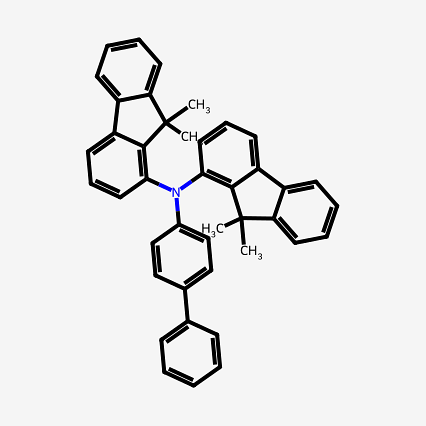 CC1(C)c2ccccc2-c2cccc(N(c3ccc(-c4ccccc4)cc3)c3cccc4c3C(C)(C)c3ccccc3-4)c21